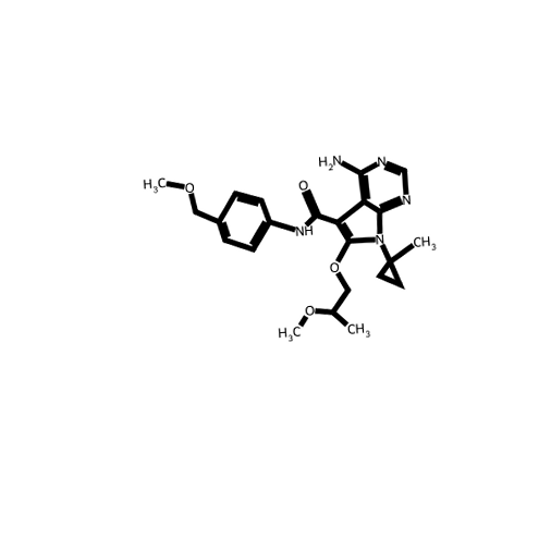 COCc1ccc(NC(=O)c2c(OCC(C)OC)n(C3(C)CC3)c3ncnc(N)c23)cc1